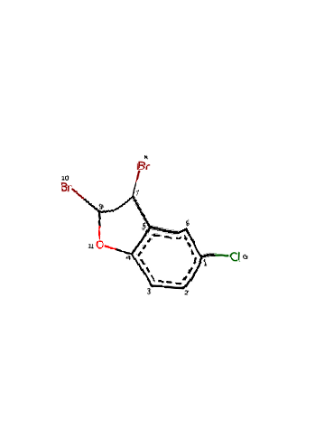 Clc1ccc2c(c1)C(Br)C(Br)O2